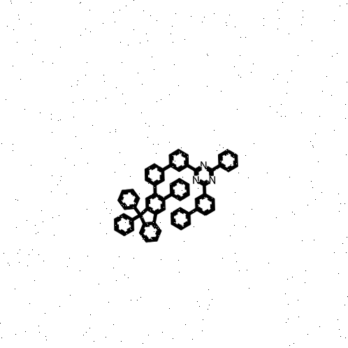 c1ccc(-c2cccc(-c3nc(-c4ccccc4)nc(-c4cccc(-c5cccc(-c6cc7c(cc6-c6ccccc6)-c6ccccc6C7(c6ccccc6)c6ccccc6)c5)c4)n3)c2)cc1